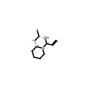 C=CC(O)N1CCCC[C@@H]1CCC